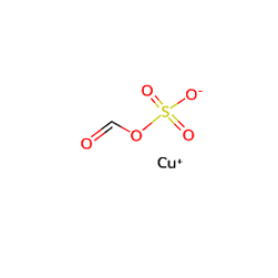 O=COS(=O)(=O)[O-].[Cu+]